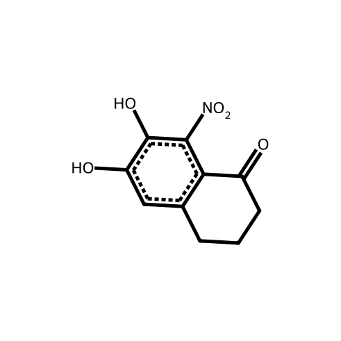 O=C1CCCc2cc(O)c(O)c([N+](=O)[O-])c21